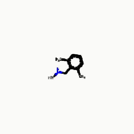 CCCNCc1c(C)cccc1C